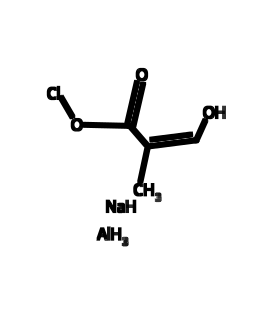 CC(=CO)C(=O)OCl.[AlH3].[NaH]